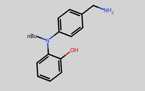 CCCCN(c1ccc(CN)cc1)c1ccccc1O